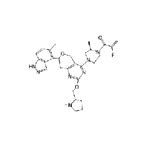 C=C(F)C(=O)N1CCN(c2nc(OCC3CCCN3C)nc3c2COC(c2c(C)ccc4[nH]ncc24)C3)C[C@H]1C